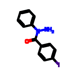 NN(C(=O)c1ccc(I)cc1)c1ccccc1